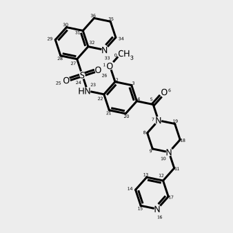 COc1cc(C(=O)N2CCN(Cc3cccnc3)CC2)ccc1NS(=O)(=O)c1cccc2c1N=CCC2